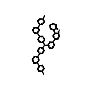 Cc1ccc(-c2cccc(-c3ccc(C(c4ccc(-c5cccc(-c6ccc(C)cc6)c5)cc4)c4cccc(-c5ccc6oc7ccccc7c6c5)c4)cc3)c2)cc1